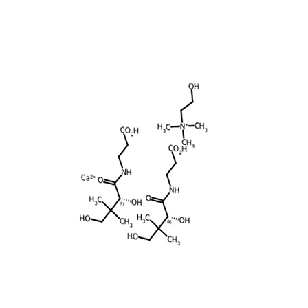 CC(C)(CO)[C@@H](O)C(=O)NCCC(=O)O.CC(C)(CO)[C@@H](O)C(=O)NCCC(=O)O.C[N+](C)(C)CCO.[Ca+2]